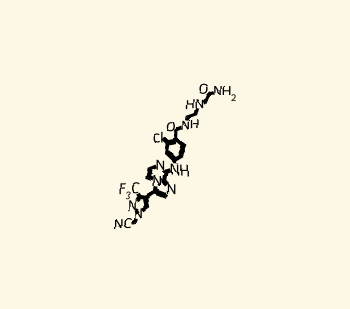 N#CCn1cc(-c2cnc3c(Nc4ccc(C(=O)NCCNCC(N)=O)c(Cl)c4)nccn23)c(C(F)(F)F)n1